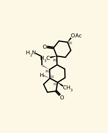 CC(=O)O[C@H]1CC[C@](C)(C2CC[C@]3(C)C(=O)CC[C@H]3[C@@H]2CCN)C(=O)C1